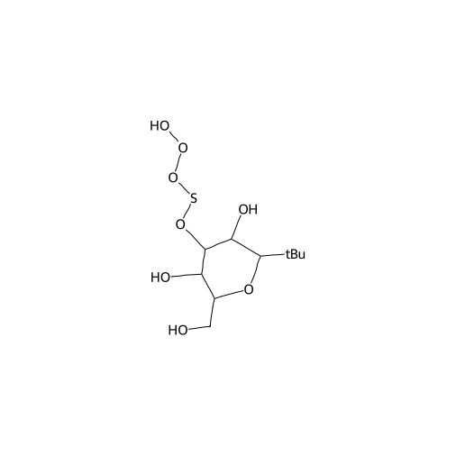 CC(C)(C)C1OC(CO)C(O)C(OSOOO)C1O